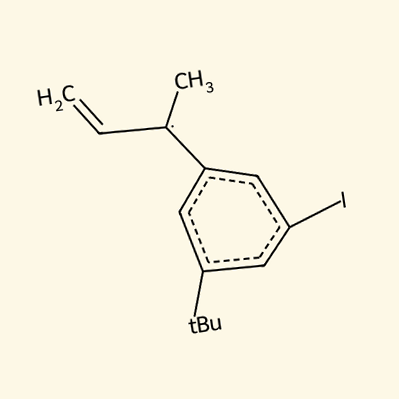 C=C[C](C)c1cc(I)cc(C(C)(C)C)c1